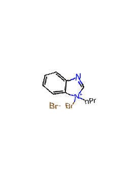 CCC[N+]1(Br)C=Nc2ccccc21.[Br-]